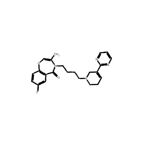 CC1=COc2ccc(F)cc2C(=O)N1CCCCN1CCC=C(c2ncccn2)C1